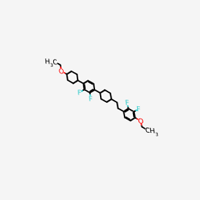 CCOc1ccc(CCC2CCC(c3ccc(C4CCC(OCC)CC4)c(F)c3F)CC2)c(F)c1F